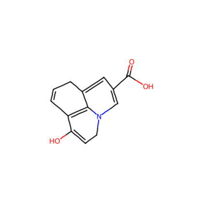 O=C(O)C1=CN2CC=C(O)C3=C2C(=C1)CC=C3